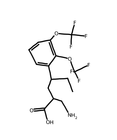 CCC(CC(CN)C(=O)O)c1cccc(OC(F)(F)F)c1OC(F)(F)F